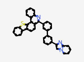 c1cc(-c2cccc(-c3nc4ccccc4c4c3ccc3c5ccccc5sc34)c2)cc(-c2cn3ccccc3n2)c1